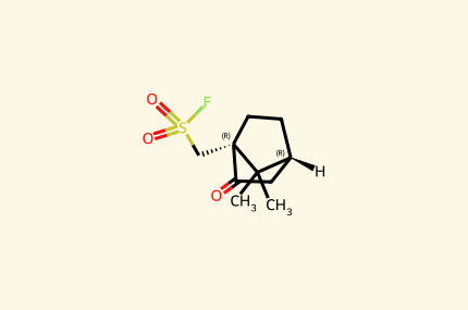 CC1(C)[C@@H]2CC[C@]1(CS(=O)(=O)F)C(=O)C2